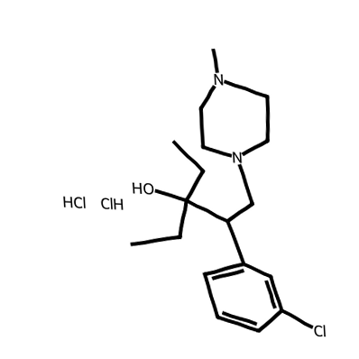 CCC(O)(CC)C(CN1CCN(C)CC1)c1cccc(Cl)c1.Cl.Cl